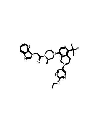 CCOc1ncc(N2CCc3c(C(F)(F)F)ccc(N4CCN(C(=O)Cn5cnc6cccnc65)C(C)C4)c3C2)cn1